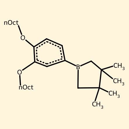 CCCCCCCCOc1ccc(B2CC(C)(C)C(C)(C)C2)cc1OCCCCCCCC